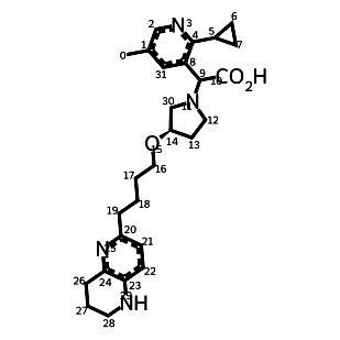 Cc1cnc(C2CC2)c(C(C(=O)O)N2CC[C@@H](OCCCCc3ccc4c(n3)CCCN4)C2)c1